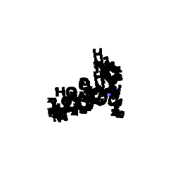 CCCO/N=C(\C(=O)NC1C(=O)N2C(C(=O)O)=C(CSc3nnnn3C)CS[C@H]12)c1cccc(N)n1